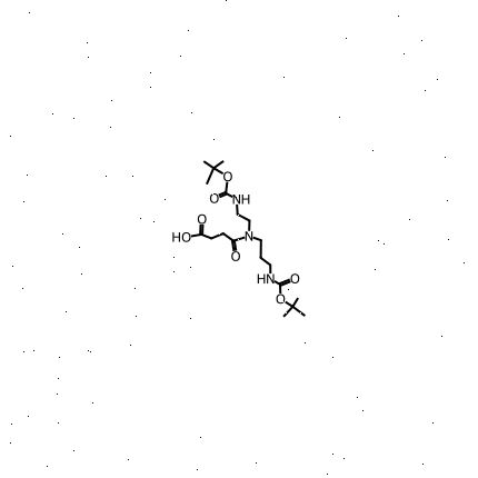 CC(C)(C)OC(=O)NCCCN(CCNC(=O)OC(C)(C)C)C(=O)CCC(=O)O